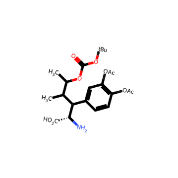 CC(=O)Oc1ccc(C(C(C)C(C)OC(=O)OC(C)(C)C)[C@H](N)C(=O)O)cc1OC(C)=O